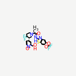 C[C@@H](C(=O)Nc1nc2cc3c(cc2s1)OC(F)(F)O3)N1CCC(F)(F)[C@@H](c2cc[n+]([O-])c(CO)c2)C1